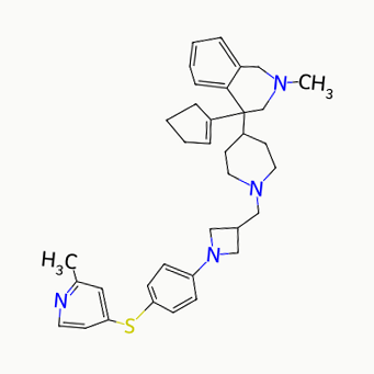 Cc1cc(Sc2ccc(N3CC(CN4CCC(C5(C6=CCCC6)CN(C)Cc6ccccc65)CC4)C3)cc2)ccn1